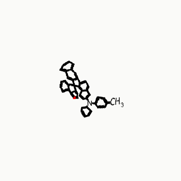 Cc1ccc(N(c2ccccc2)c2ccc3c4c(ccc3c2)-c2cc3ccccc3cc2C42c3ccccc3-c3ccccc32)cc1